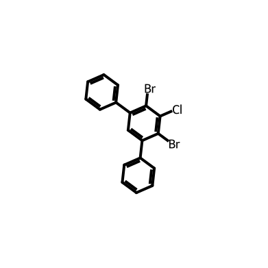 Clc1c(Br)c(-c2ccccc2)cc(-c2ccccc2)c1Br